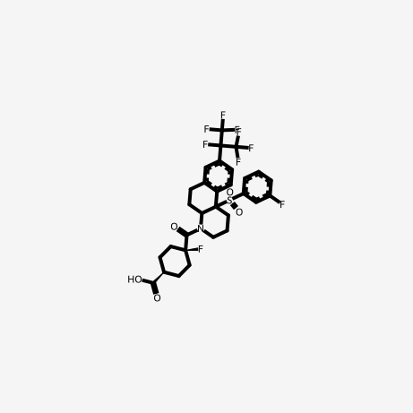 O=C(O)[C@H]1CC[C@](F)(C(=O)N2CCCC3(S(=O)(=O)c4cccc(F)c4)c4ccc(C(F)(C(F)(F)F)C(F)(F)F)cc4CCC23)CC1